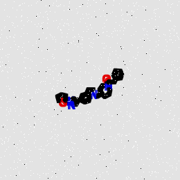 O=C(Cc1ccccc1)N1CCCC(Cn2ccc3cc(-c4cnn(C5CCCCO5)c4)ccc32)CC1